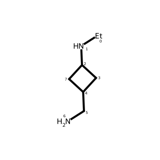 CCNC1CC(CN)C1